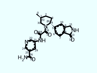 C[C@H]1CC[C@H](c2ccc3c(c2)CNC3=O)N(C(=O)C(=O)Nc2cncc(C(N)=O)c2)C1